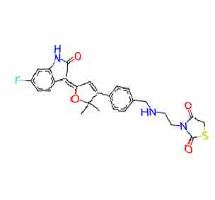 CC1(C)O/C(=C2/C(=O)Nc3cc(F)ccc32)C=C1c1ccc(CNCCN2C(=O)CSC2=O)cc1